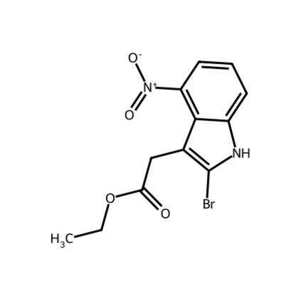 CCOC(=O)Cc1c(Br)[nH]c2cccc([N+](=O)[O-])c12